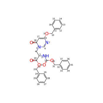 O=C(NC(Cn1cnc(OCc2ccccc2)cc1=O)C(=O)OCc1ccccc1)OCc1ccccc1